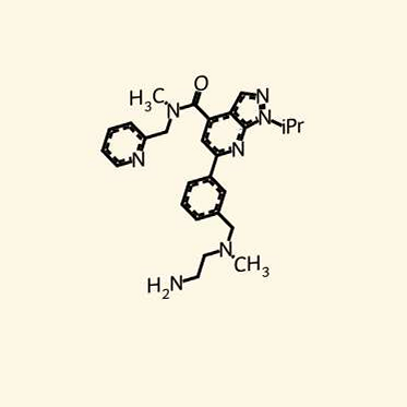 CC(C)n1ncc2c(C(=O)N(C)Cc3ccccn3)cc(-c3cccc(CN(C)CCN)c3)nc21